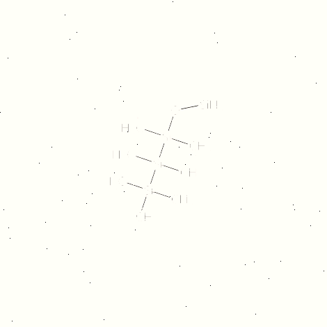 C[Si](C)(C)[Si](C)(C)[Si](C)(C)O[SiH3]